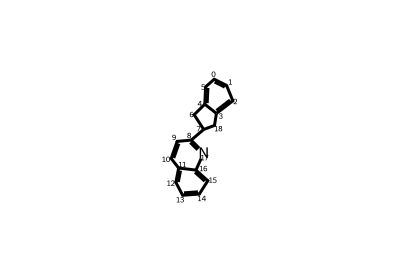 c1ccc2c(c1)CC(c1ccc3ccccc3n1)C2